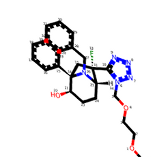 COCCOCn1nnnc1[C@]1(F)C[C@@]2(c3ccccc3)[C@H](O)CC[C@@H]1N2Cc1ccccc1